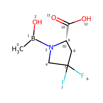 CB(O)N1CC(F)(F)C[C@H]1C(=O)O